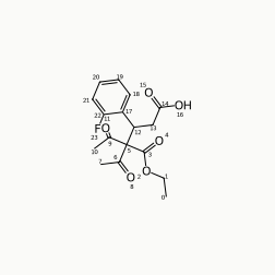 CCOC(=O)C(C(C)=O)(C(C)=O)C(CC(=O)O)c1ccccc1F